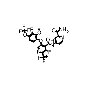 COc1c(Oc2cnc(C(F)(F)F)c(F)c2C(=O)Nc2ccnc(C(N)=O)c2)ccc(OC(F)(F)F)c1F